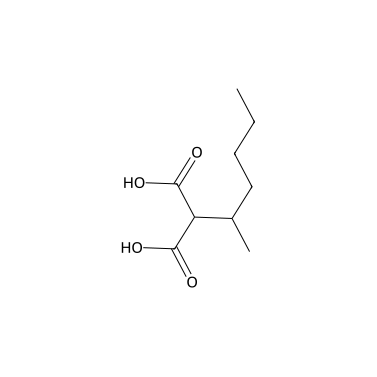 CCCCC(C)C(C(=O)O)C(=O)O